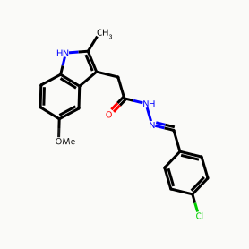 COc1ccc2[nH]c(C)c(CC(=O)NN=Cc3ccc(Cl)cc3)c2c1